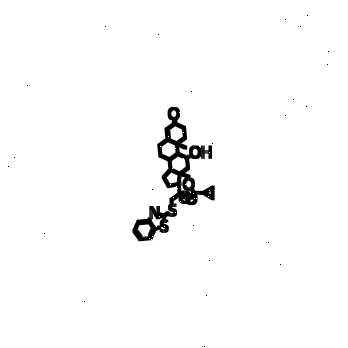 CC12CCC(=O)C=C1CCC1C2[C@@H](O)CC2(C)C1CC[C@]2(OC(=O)C1CC1)C(=O)CSc1nc2ccccc2s1